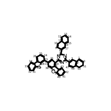 C1=Cc2cc(-c3nc(-c4ccc5ccccc5c4)nc(-c4cc(-c5cccc6c5sc5ccccc56)cc5oc6ccccc6c45)n3)ccc2CC1